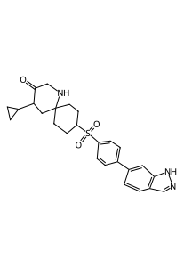 O=C1CNC2(CCC(S(=O)(=O)c3ccc(-c4ccc5cn[nH]c5c4)cc3)CC2)CC1C1CC1